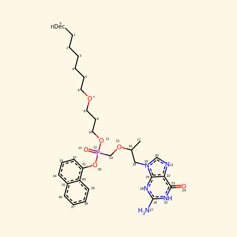 CCCCCCCCCCCCCCCCOCCCOP(=O)(COC(C)Cn1cnc2c(=O)[nH]c(N)nc21)Oc1cccc2ccccc12